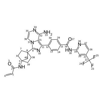 C=CC(=O)NC12CCC(c3nc(-c4ccc(C(=O)Nc5cc(C(F)(F)F)ccn5)cc4)c4c(N)nccn34)(CC1)C2